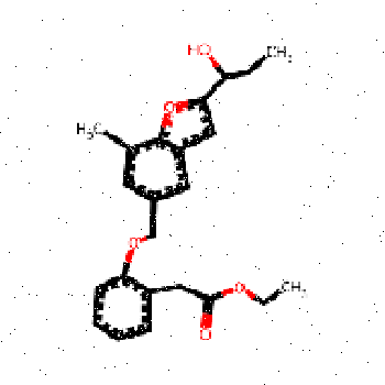 CCOC(=O)Cc1ccccc1OCc1cc(C)c2oc(C(O)CC)cc2c1